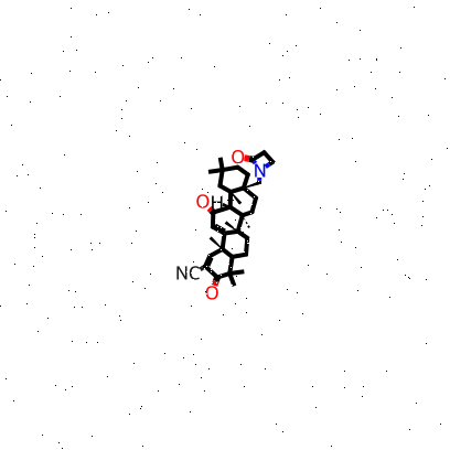 CC1(C)CC[C@]2(CN3CCC3=O)CC[C@]3(C)[C@H](C(=O)C=C4[C@@]5(C)C=C(C#N)C(=O)C(C)(C)C5CC[C@]43C)[C@]2(C)C1